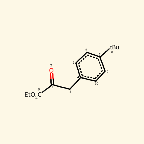 CCOC(=O)C(=O)Cc1ccc(C(C)(C)C)cc1